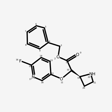 O=C(OCc1ccccc1)C(Oc1ccc(F)nc1)[C@@H]1CCN1